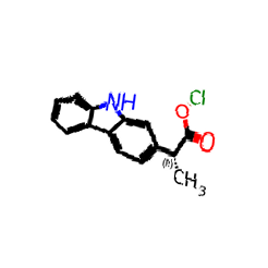 C[C@@H](C(=O)OCl)c1ccc2c(c1)[nH]c1ccccc12